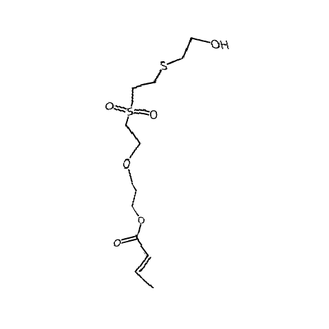 CC=CC(=O)OCCOCCS(=O)(=O)CCSCCO